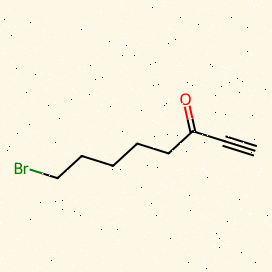 C#CC(=O)CCCCCBr